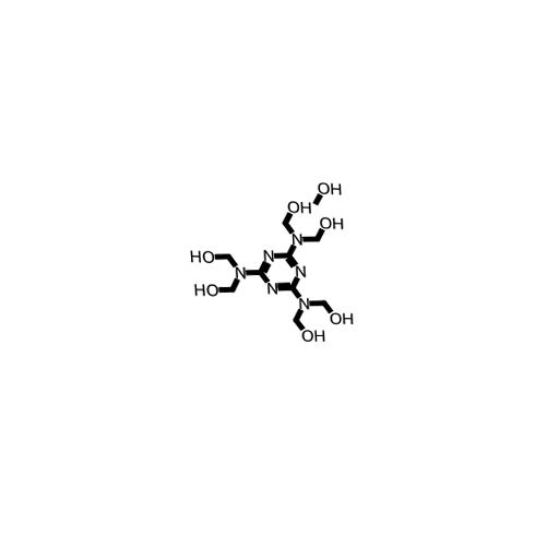 CO.OCN(CO)c1nc(N(CO)CO)nc(N(CO)CO)n1